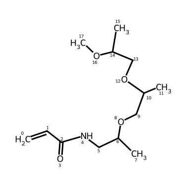 C=CC(=O)NCC(C)OCC(C)OCC(C)OC